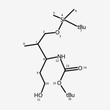 CC(CO[Si](C)(C)C(C)(C)C)C(CCO)NC(=O)OC(C)(C)C